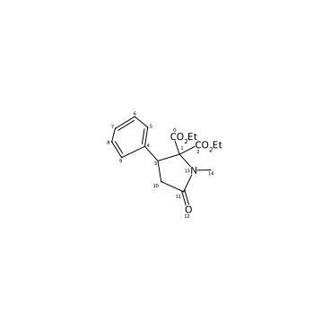 CCOC(=O)C1(C(=O)OCC)C(c2ccccc2)CC(=O)N1C